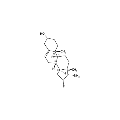 C[C@]12CCC(O)CC1=CC[C@H]1[C@@H]3CC(F)C(N)[C@@]3(C)CC[C@]12F